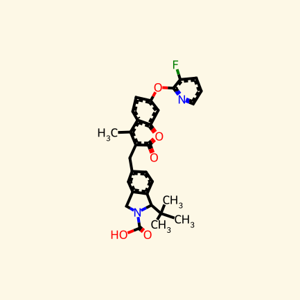 Cc1c(Cc2ccc3c(c2)CN(C(=O)O)C3C(C)(C)C)c(=O)oc2cc(Oc3ncccc3F)ccc12